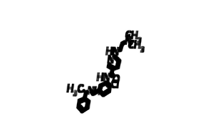 C[C@@H](NCc1ccc(Cl)c(NC(=O)c2ccc(NCCN(C)C)nc2)c1)c1ccccc1